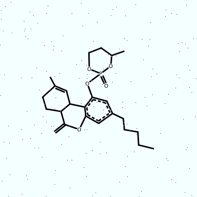 C=C1Oc2cc(CCCCC)cc(OP3(=O)OCCC(C)O3)c2C2C=C(C)CCC12